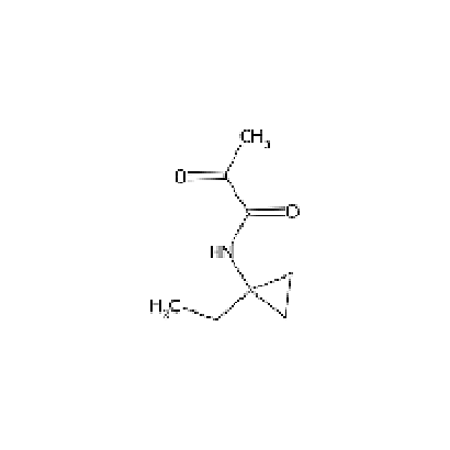 CCC1(NC(=O)C(C)=O)CC1